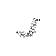 CN(C)C(=O)N1CC(Oc2nc3nc(-c4ccc(C5=CCC(C(=O)O)CC5)cc4)c(Cl)cc3[nH]2)C1